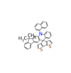 CC1(C)c2ccccc2-c2cc3c(cc21)N(c1cccc2ccccc12)c1ccccc1C31c2ccsc2-c2sccc21